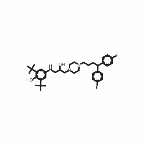 CC(C)(C)c1cc(NCC(O)CN2CCN(CCCC(c3ccc(F)cc3)c3ccc(F)cc3)CC2)cc(C(C)(C)C)c1O